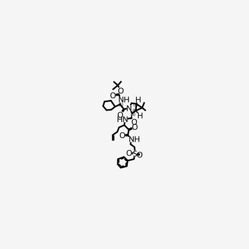 C=CCCC(NC(=O)[C@@H]1[C@@H]2[C@H](CN1C(=O)[C@@H](NC(=O)OC(C)(C)C)C1CCCCC1)C2(C)C)C(=O)C(=O)NCCS(=O)(=O)Cc1ccccc1